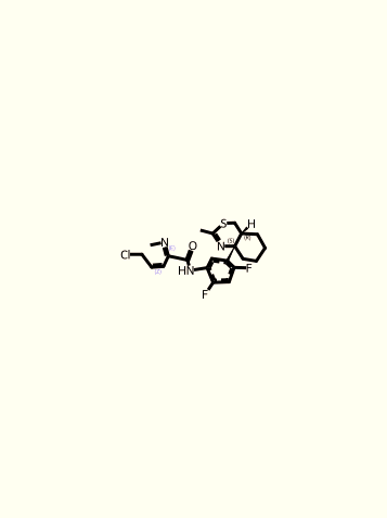 C/N=C(\C=C/CCl)C(=O)Nc1cc([C@]23CCCC[C@H]2CSC(C)=N3)c(F)cc1F